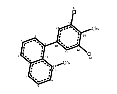 [O-][n+]1cccc2cccc(-c3cc(Cl)c(Cl)c(Cl)c3)c21